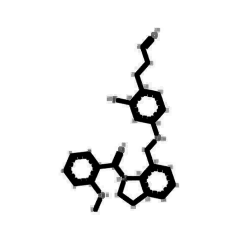 COc1ccccc1C(=O)N1CCc2cccc(COc3ccc(CCC=O)c(F)c3)c21